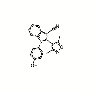 Cc1noc(C)c1-c1c(C#N)c2ccccc2n1-c1ccc(O)cc1